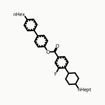 CCCCCCCC1CCC(c2ccc(C(=O)Oc3ccc(-c4ccc(CCCCCC)cc4)cc3)cc2F)CC1